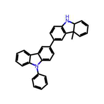 CC12C=CC=CC1Nc1ccc(-c3ccc4c(c3)c3ccccc3n4-c3ccccc3)cc12